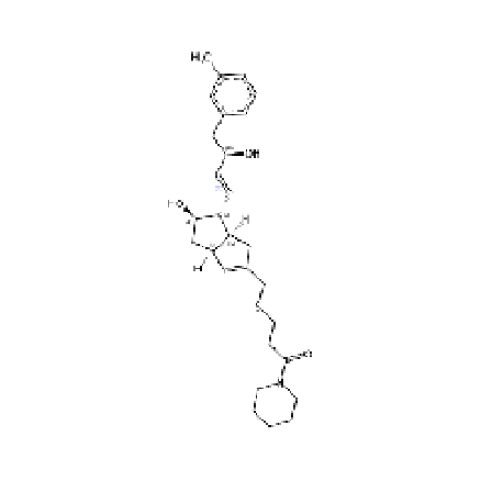 Cc1cccc(C[C@@H](O)/C=C/[C@@H]2[C@H]3CC(CSCCC(=O)N4CCCCC4)=C[C@H]3C[C@H]2O)c1